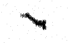 Cc1ccc(N2CCC[C@H](N(Cc3ccnc(C)c3)Cc3cn(C4CC4)c4cc(N5CC[C@@H](N(C)C(=O)CCOCCOCCOCCNC(=O)O)C5)c(F)cc4c3=O)C2)cn1